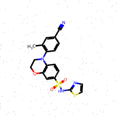 Cc1cc(C#N)ccc1N1CCOc2cc(S(=O)(=O)Nc3nccs3)ccc21